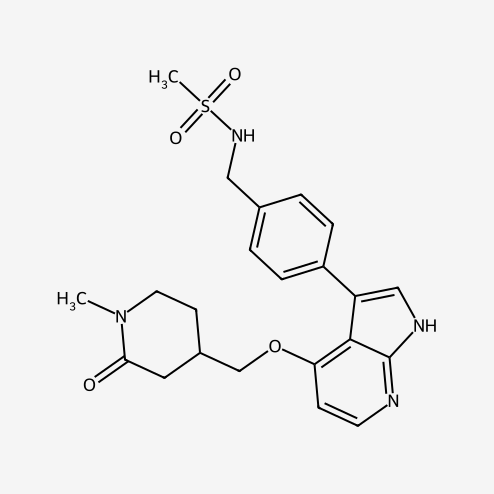 CN1CCC(COc2ccnc3[nH]cc(-c4ccc(CNS(C)(=O)=O)cc4)c23)CC1=O